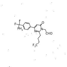 O=CCn1c(CCCC(F)(F)F)nc(-c2ccc(C(F)(F)P)cc2)cc1=O